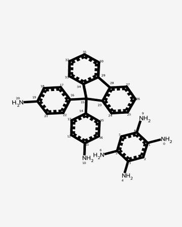 Nc1cc(N)c(N)cc1N.Nc1ccc(C2(c3ccc(N)cc3)c3ccccc3-c3ccccc32)cc1